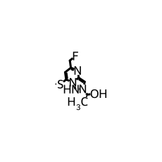 C[C@H](O)N1C=C2N=C(CF)C=C([S])N2N1